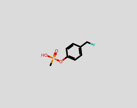 CP(=O)(O)Oc1ccc(CF)cc1